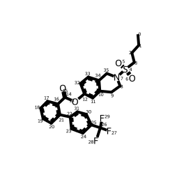 CCCCS(=O)(=O)N1CCc2cc(OC(=O)c3ccccc3-c3ccc(C(F)(F)F)cc3)ccc2C1